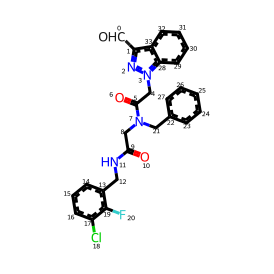 O=Cc1nn(CC(=O)N(CC(=O)NCc2cccc(Cl)c2F)Cc2ccccc2)c2ccccc12